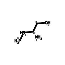 N.OCCNP